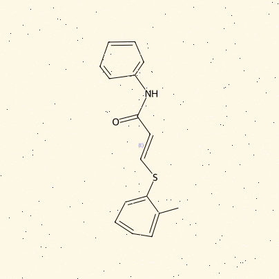 Cc1ccccc1S/C=C/C(=O)Nc1ccccc1